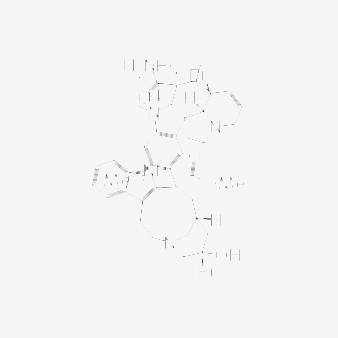 CC[C@]1(O)C[C@@H]2CN(CCc3c([nH]c4ccccc34)[C@@](C(=O)OC)(c3cc4c(cc3OC)N(C)[C@@H]3[C@]45CCN4CC=C[C@@](CC)(C(C)[C@]3(O)C(N)=O)[C@H]45)C2)C1